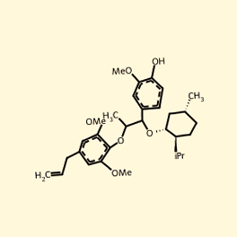 C=CCc1cc(OC)c(OC(C)C(O[C@@H]2C[C@H](C)CC[C@H]2C(C)C)c2ccc(O)c(OC)c2)c(OC)c1